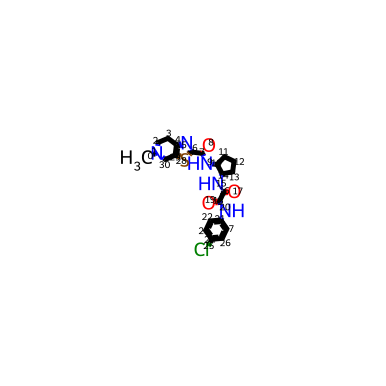 CN1CCc2nc(C(=O)NC3CCCC3NC(=O)C(=O)Nc3ccc(Cl)cc3)sc2C1